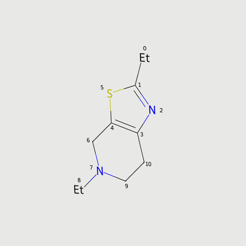 CCc1nc2c(s1)CN(CC)CC2